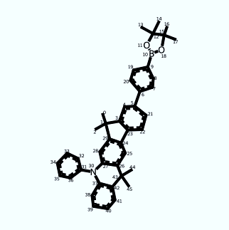 CC1(C)c2cc(-c3ccc(B4OC(C)(C)C(C)(C)O4)cc3)ccc2-c2cc3c(cc21)N(c1ccccc1)c1ccccc1C3(C)C